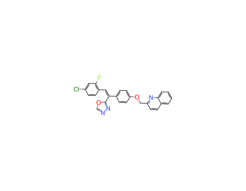 Fc1cc(Cl)ccc1C=C(c1ccc(OCc2ccc3ccccc3n2)cc1)c1nnco1